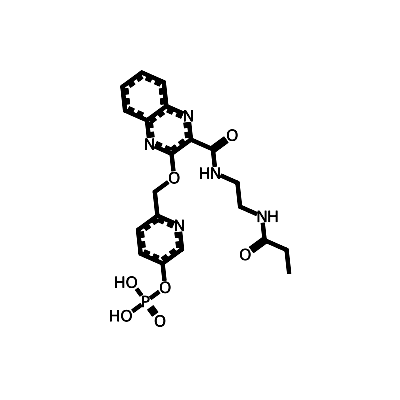 CCC(=O)NCCNC(=O)c1nc2ccccc2nc1OCc1ccc(OP(=O)(O)O)cn1